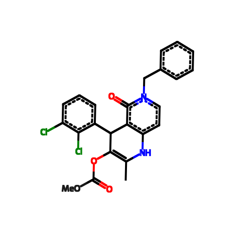 COC(=O)OC1=C(C)Nc2ccn(Cc3ccccc3)c(=O)c2C1c1cccc(Cl)c1Cl